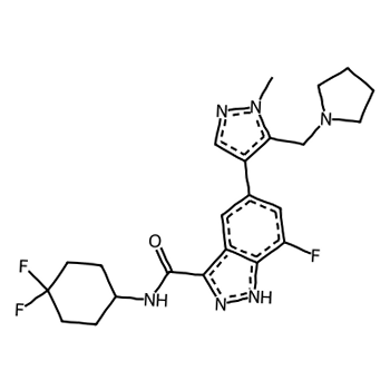 Cn1ncc(-c2cc(F)c3[nH]nc(C(=O)NC4CCC(F)(F)CC4)c3c2)c1CN1CCCC1